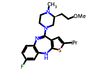 COCC[C@H]1CN(C2=Nc3ccc(F)cc3Nc3sc(C(C)C)cc32)CCN1C